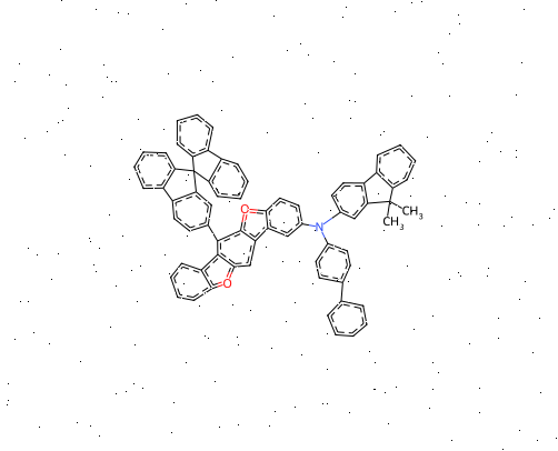 CC1(C)c2ccccc2-c2ccc(N(c3ccc(-c4ccccc4)cc3)c3ccc4oc5c(-c6ccc7c(c6)C6(c8ccccc8-c8ccccc86)c6ccccc6-7)c6c(cc5c4c3)oc3ccccc36)cc21